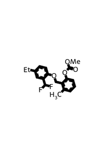 CCc1ccc(OCc2c(C)cccc2OC(=O)OC)c(C(F)F)c1